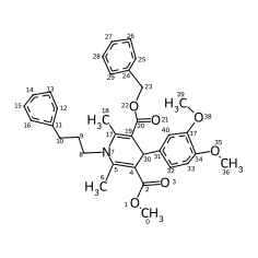 COC(=O)C1=C(C)N(CCCc2ccccc2)C(C)=C(C(=O)OCc2ccccc2)C1c1ccc(OC)c(OC)c1